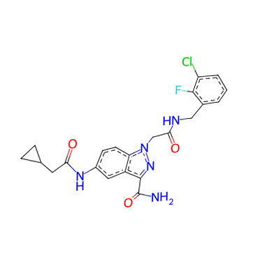 NC(=O)c1nn(CC(=O)NCc2cccc(Cl)c2F)c2ccc(NC(=O)CC3CC3)cc12